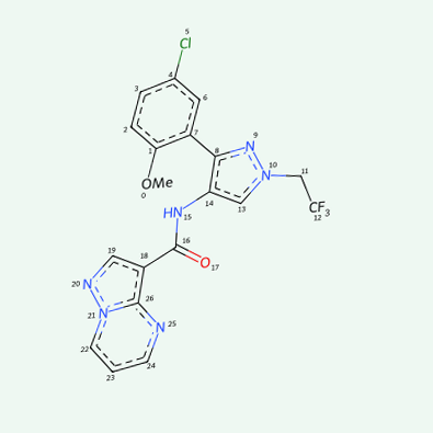 COc1ccc(Cl)cc1-c1nn(CC(F)(F)F)cc1NC(=O)c1cnn2cccnc12